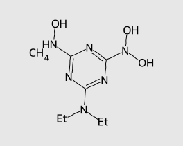 C.CCN(CC)c1nc(NO)nc(N(O)O)n1